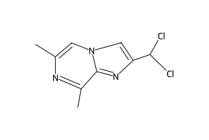 Cc1cn2cc(C(Cl)Cl)nc2c(C)n1